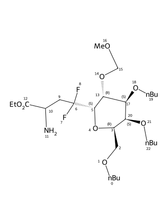 CCCCOC[C@H]1O[C@H](C(F)(F)CC(N)C(=O)OCC)[C@H](OCOC)[C@@H](OCCCC)[C@H]1OCCCC